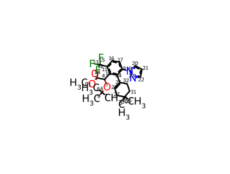 COC(=O)C(OC(C)(C)C)c1c(C(F)(F)F)ccc(-n2cccn2)c1C1=CCC(C)(C)CC1